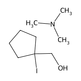 CN(C)C.OCC1(I)CCCC1